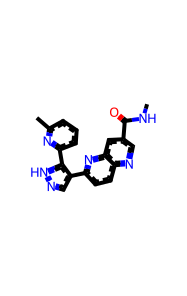 CNC(=O)c1cnc2ccc(-c3cn[nH]c3-c3cccc(C)n3)nc2c1